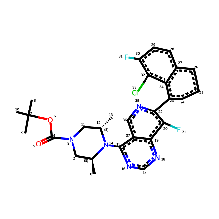 C[C@H]1CN(C(=O)OC(C)(C)C)C[C@H](C)N1c1ncnc2c(F)c(-c3cccc4ccc(F)c(Cl)c34)ncc12